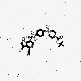 CC(C)(C)OC(=O)N1CCN([S+]([O-])c2ccc(S(=O)(=O)Nc3ccc(C#N)c4c(Cl)c[nH]c34)cc2)CC1